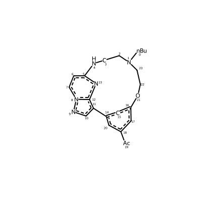 CCCCN1CCNc2ccn3ncc(c3n2)-c2cc(cc(C(C)=O)c2)OCC1